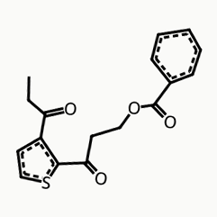 CCC(=O)c1ccsc1C(=O)CCOC(=O)c1ccccc1